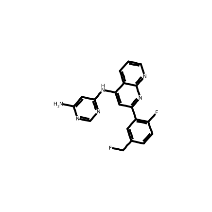 Nc1cc(Nc2cc(-c3cc(CF)ccc3F)nc3ncccc23)ncn1